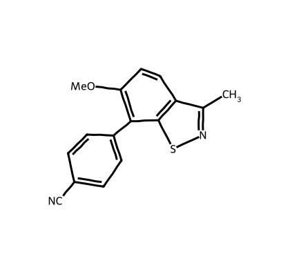 COc1ccc2c(C)nsc2c1-c1ccc(C#N)cc1